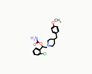 COc1ccc(CC2CCN(CC(OC(N)=O)c3ccccc3Cl)CC2)cc1